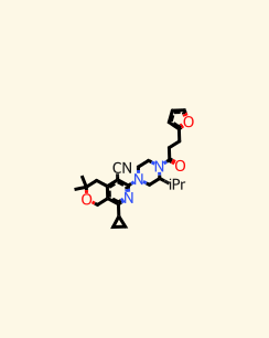 CC(C)C1CN(c2nc(C3CC3)c3c(c2C#N)CC(C)(C)OC3)CCN1C(=O)CCc1ccco1